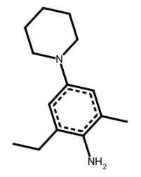 CCc1cc(N2CCCCC2)cc(C)c1N